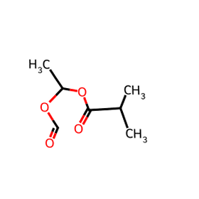 CC(OC=O)OC(=O)C(C)C